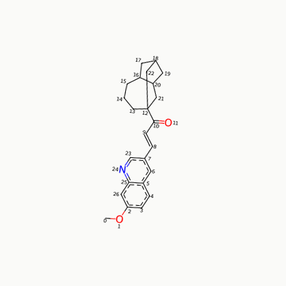 COc1ccc2cc(/C=C/C(=O)C34CCCC5CC(CC5C3)C4)cnc2c1